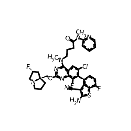 CN(CCCC(=O)N(C)c1ccccn1)c1nc(OC[C@@]23CCCN2C[C@H](F)C3)nc2c(F)c(-c3ccc(F)c4sc(N)c(C#N)c34)c(Cl)cc12